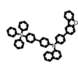 c1ccc([Si](c2ccccc2)(c2ccccc2)c2ccc(-c3ccc(N(c4ccc(-c5ccc6oc7ccccc7c6c5)cc4)c4cccc5ccccc45)cc3)cc2)cc1